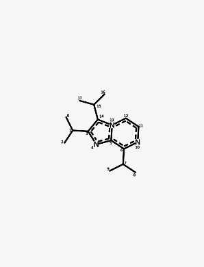 CC(C)c1nc2c(C(C)C)nccn2c1C(C)C